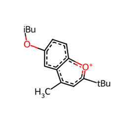 CCC(C)Oc1ccc2[o+]c(C(C)(C)C)cc(C)c2c1